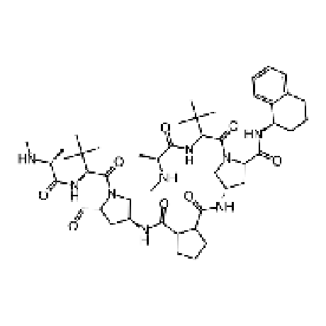 CN[C@@H](C)C(=O)NC(C(=O)N1C[C@@H](NC(=O)C2CCCC2C(=O)N[C@H]2CC(C=O)N(C(=O)[C@@H](NC(=O)[C@H](C)NC)C(C)(C)C)C2)CC1C(=O)N[C@@H]1CCCc2ccccc21)C(C)(C)C